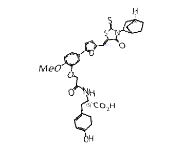 COc1ccc(-c2ccc(/C=C3\SC(=S)N(C4C[C@H]5CCC4C5)C3=O)o2)cc1OCC(=O)N[C@@H](CC1=CC=C(O)CC1)C(=O)O